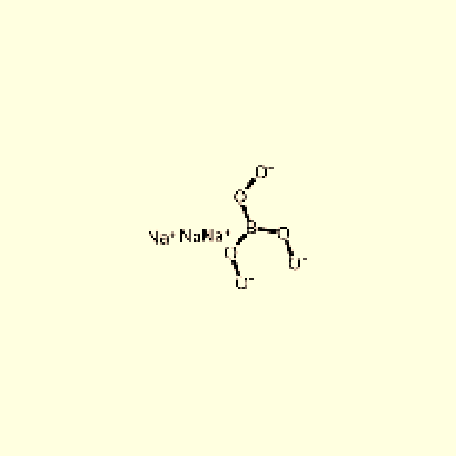 [Na+].[Na+].[Na+].[O-]OB(O[O-])O[O-]